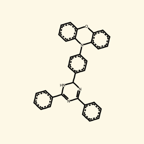 c1ccc(C2=NC(c3ccc(N4c5ccccc5Oc5ccccc54)cc3)NC(c3ccccc3)=N2)cc1